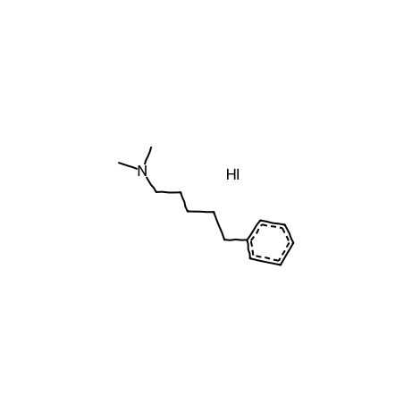 CN(C)CCCCCc1ccccc1.I